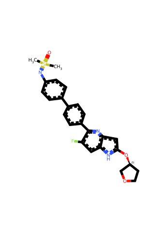 CS(C)(=O)=Nc1ccc(-c2ccc(-c3nc4cc(O[C@H]5CCOC5)[nH]c4cc3F)cc2)cc1